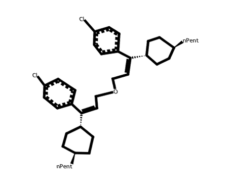 CCCCC[C@H]1CC[C@H](C(=CCOCC=C(c2ccc(Cl)cc2)[C@H]2CC[C@H](CCCCC)CC2)c2ccc(Cl)cc2)CC1